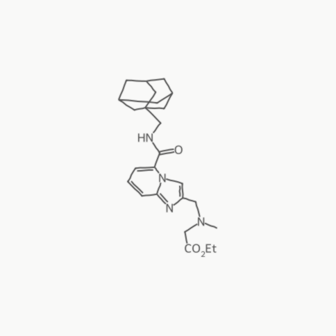 CCOC(=O)CN(C)Cc1cn2c(C(=O)NCC34CC5CC(CC(C5)C3)C4)cccc2n1